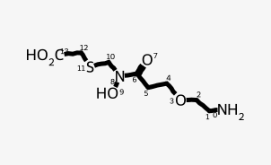 NCCOCCC(=O)N(O)CSCC(=O)O